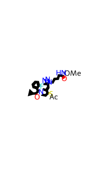 CONC(=O)CCCCn1nncc1/C=C1\CN(C(C(=O)C2CC2)c2ccccc2F)CCC1SC(C)=O